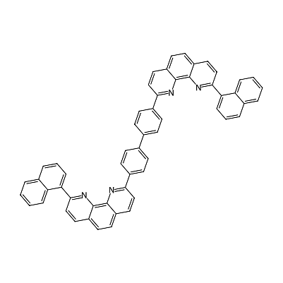 c1ccc2c(-c3ccc4ccc5ccc(-c6ccc(-c7ccc(-c8ccc9ccc%10ccc(-c%11cccc%12ccccc%11%12)nc%10c9n8)cc7)cc6)nc5c4n3)cccc2c1